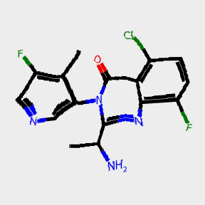 Cc1c(F)cncc1-n1c(C(C)N)nc2c(F)ccc(Cl)c2c1=O